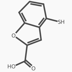 O=C(O)c1cc2c(S)cccc2o1